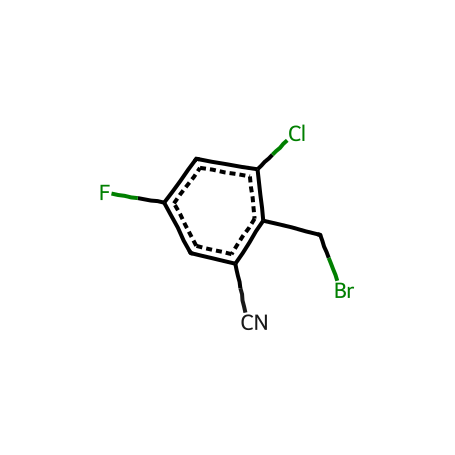 N#Cc1cc(F)cc(Cl)c1CBr